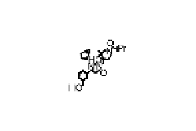 C1CC2CC2C1.CC(C)C(=O)N1CCC(O)(Cn2cnc(-c3cccc(CO)c3)cc2=O)C(C)(C)C1